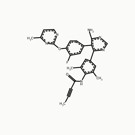 CC#CC(=O)Nc1c(C)cc(-c2ncnc(N)c2-c2ccc(Oc3nccc(C)n3)c(F)c2)cc1C